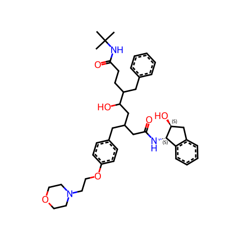 CC(C)(C)NC(=O)CCC(Cc1ccccc1)C(O)CC(CC(=O)N[C@H]1c2ccccc2C[C@@H]1O)Cc1ccc(OCCN2CCOCC2)cc1